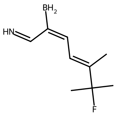 B/C(C=N)=C/C=C(\C)C(C)(C)F